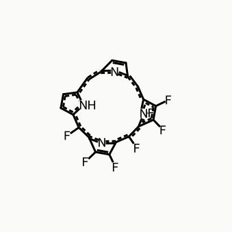 FC1=C(F)c2nc1c(F)c1ccc(cc3nc(cc4c(F)c(F)c(c2F)n4F)C=C3)[nH]1